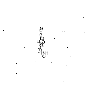 CC(=O)NC(C)c1cc(-c2cnc(Oc3ccc(OCC4CCOC4)cc3Cl)s2)no1